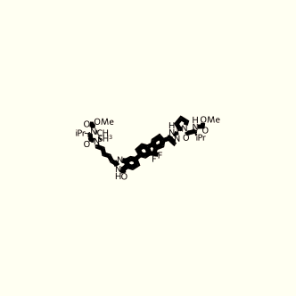 COC(=O)N[C@H](C(=O)N1CCC[C@H]1c1ncc(-c2ccc3c(c2)C(F)(F)c2cc(-c4ccc5c(=O)[nH]c(CCCCCN(S)C(=O)[C@H](C(C)C)N(C)C(=O)OC)nc5c4)ccc2-3)[nH]1)C(C)C